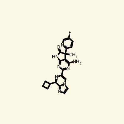 CC1(c2ccc(F)cn2)C(=O)Nc2nc(-c3cn4ccnc4c(C4CCC4)n3)nc(N)c21